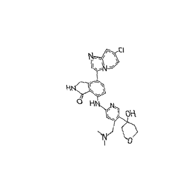 CN(C)Cc1cc(Nc2ccc(-c3cnc4cc(Cl)ccn34)c3c2C(=O)NC3)ncc1C1(O)CCOCC1